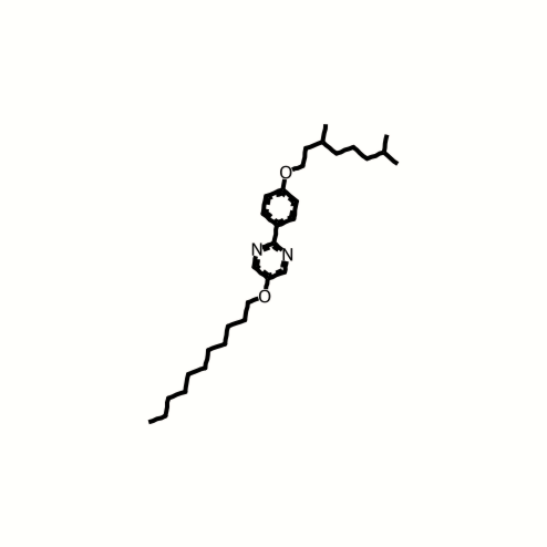 CCCCCCCCCCCOc1cnc(-c2ccc(OCCC(C)CCCC(C)C)cc2)nc1